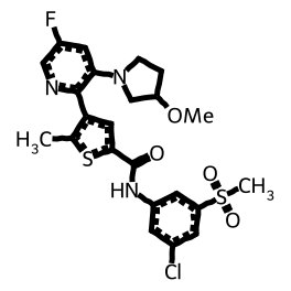 COC1CCN(c2cc(F)cnc2-c2cc(C(=O)Nc3cc(Cl)cc(S(C)(=O)=O)c3)sc2C)C1